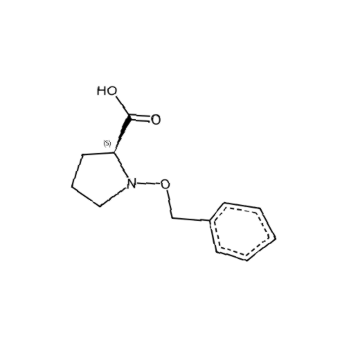 O=C(O)[C@@H]1CCCN1OCc1ccccc1